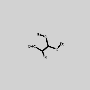 CCOC(OCC)C(Br)C=O